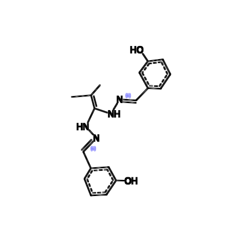 CC(C)=C(N/N=C/c1cccc(O)c1)N/N=C/c1cccc(O)c1